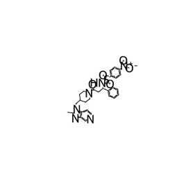 Cc1nc2cnccc2n1CC1CCN(C(=O)CC(NS(=O)(=O)c2ccc([N+](=O)[O-])cc2)c2ccccc2)CC1